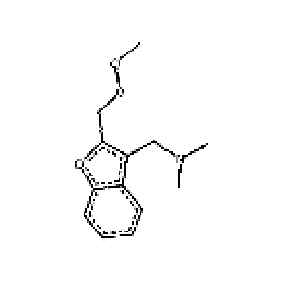 COOCc1oc2ccccc2c1CN(C)C